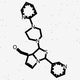 O=C=C1C=CN2C(c3cccnc3)SC(N3CCN(c4ccccn4)CC3)C12